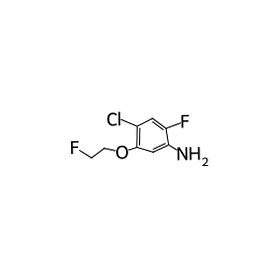 Nc1cc(OCCF)c(Cl)cc1F